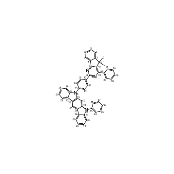 CC1(C)c2ccccc2-c2nc(-c3ccc(-n4c5ccccc5c5cc6c7ccccc7n(-c7ccccc7)c6cc54)cc3)nc(-c3ccccc3)c21